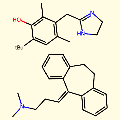 CN(C)CCC=C1c2ccccc2CCc2ccccc21.Cc1cc(C(C)(C)C)c(O)c(C)c1CC1=NCCN1